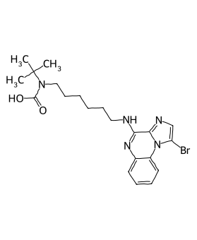 CC(C)(C)N(CCCCCCNc1nc2ccccc2n2c(Br)cnc12)C(=O)O